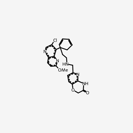 COc1ccc2ncc(Cl)c(C3(CCNCc4ccc5c(n4)NC(=O)CO5)C=CC=CC3)c2n1